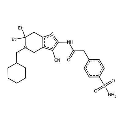 CCC1(CC)Cc2sc(NC(=O)Cc3ccc(S(N)(=O)=O)cc3)c(C#N)c2CN1CC1CCCCC1